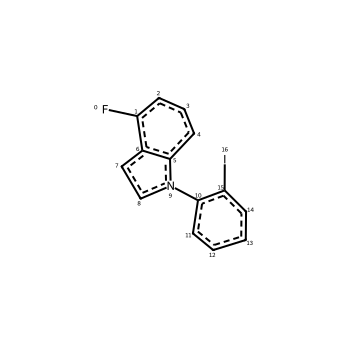 Fc1cccc2c1ccn2-c1ccccc1I